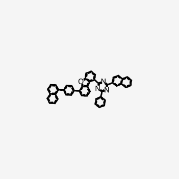 c1ccc(-c2nc(-c3ccc4ccccc4c3)nc(-c3cccc4oc5c(-c6ccc(-c7cccc8ccccc78)cc6)cccc5c34)n2)cc1